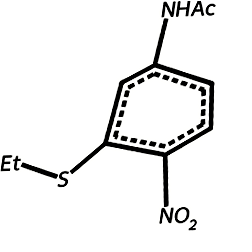 CCSc1cc(NC(C)=O)ccc1[N+](=O)[O-]